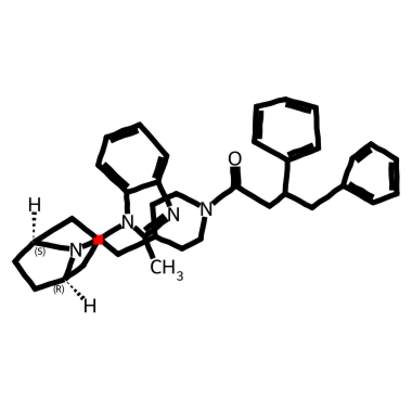 Cc1nc2ccccc2n1C1C[C@H]2CC[C@@H](C1)N2CCC1CCN(C(=O)CC(Cc2ccccc2)c2ccccc2)CC1